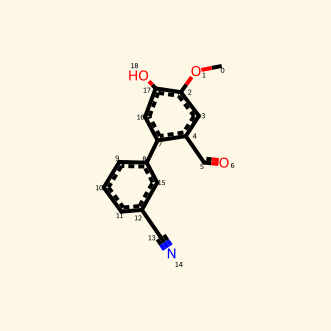 COc1cc(C=O)c(-c2cccc(C#N)c2)cc1O